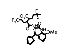 COc1cccc2c1NC(=O)C(NC(=O)C(CCC(F)(F)F)C(CCC(C)(F)F)C(=O)O)N=C2c1ccccc1